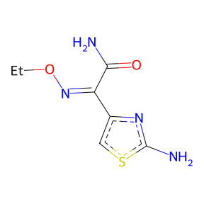 CCON=C(C(N)=O)c1csc(N)n1